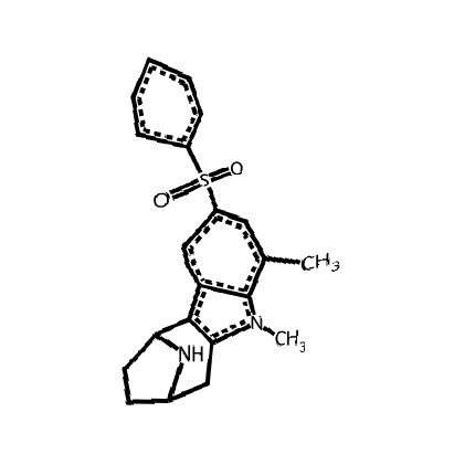 Cc1cc(S(=O)(=O)c2ccccc2)cc2c3c(n(C)c12)CC1CCC3N1